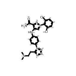 CN(C)CCc1nnnn1-c1ccc(Nc2cn(-c3c(Cl)cccc3Cl)nc2C(N)=O)cc1